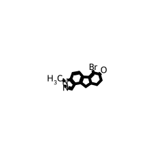 Cn1ncc2c3c(ccc21)C1=C(Br)C(=O)CCC1C3